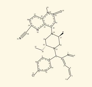 C=N/C(=C\C=C/C)C(c1ccc(Cl)cc1)N1C[C@H](C)N(c2cc(=O)n(C)c3ccc(C#N)nc23)C[C@H]1CC